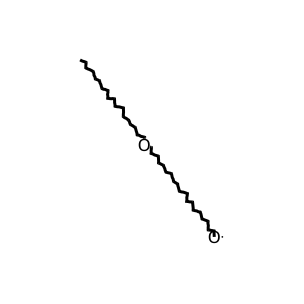 CCCCCCCCCCCCCCCCCCOCCCCCCCCCCCCCCCCCCC[O]